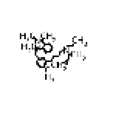 C=C(CCCN(CCC)C(=C)C1CC1)c1cc(CC(=C)c2ccccc2C(=C)NC)ccc1C